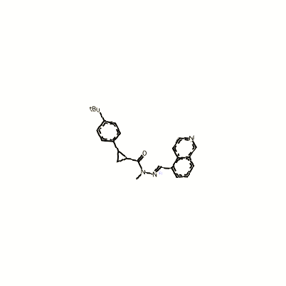 CN(/N=C/c1cccc2cnccc12)C(=O)C1CC1c1ccc(C(C)(C)C)cc1